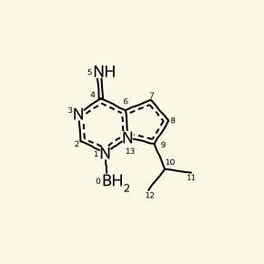 Bn1cnc(=N)c2ccc(C(C)C)n21